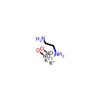 NCCN.O=[N+]([O-])[O-].O=[N+]([O-])[O-].[K+].[K+]